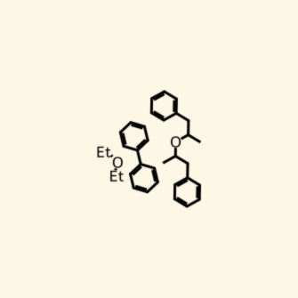 CC(Cc1ccccc1)OC(C)Cc1ccccc1.CCOCC.c1ccc(-c2ccccc2)cc1